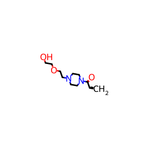 C=CC(=O)N1CCN(CCOCCO)CC1